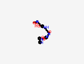 COCC(=O)N(C)CCCC(O)c1ccc(NCCCCCC(=O)N(C)CCN2CCC(OC(=O)Nc3ccccc3-c3ccccc3)CC2)cc1